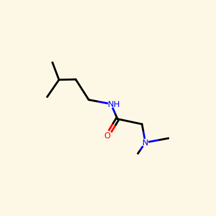 CC(C)CCNC(=O)CN(C)C